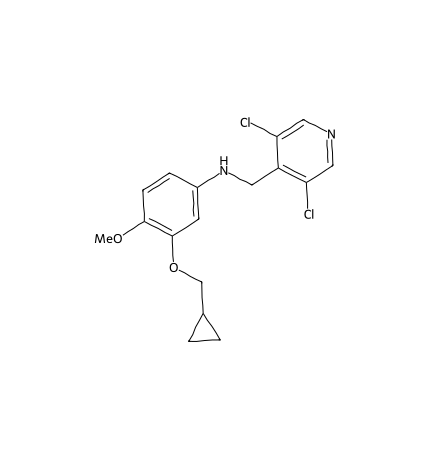 COc1ccc(NCc2c(Cl)cncc2Cl)cc1OCC1CC1